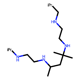 CC(C)CNCCNC(C)(C)CC(C)NCCNC(C)C